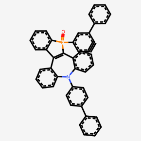 O=P1(c2cc#cc(-c3ccccc3)c2)C2=C(c3ccccc3N(c3ccc(-c4ccccc4)cc3)c3ccccc32)c2ccccc21